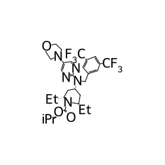 CC[C@@H]1C[C@H](N(Cc2cc(C(F)(F)F)cc(C(F)(F)F)c2)c2ncc(N3CCOCC3)cn2)C[C@H](CC)N1C(=O)OC(C)C